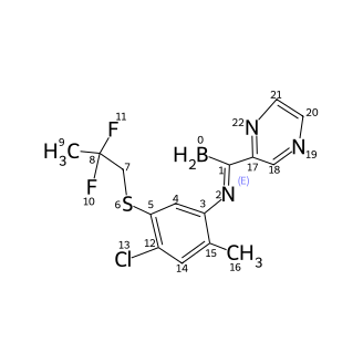 B/C(=N\c1cc(SCC(C)(F)F)c(Cl)cc1C)c1cnccn1